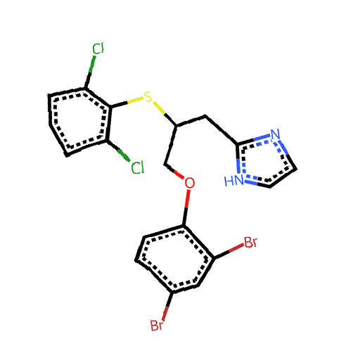 Clc1cccc(Cl)c1SC(COc1ccc(Br)cc1Br)Cc1ncc[nH]1